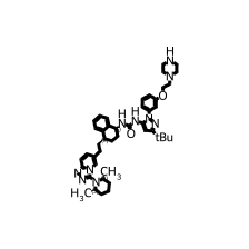 C[C@@H]1CCC[C@H](C)N1c1nnc2ccc(CC[C@@H]3CC[C@H](NC(=O)Nc4cc(C(C)(C)C)nn4-c4cccc(OCCN5CCNCC5)c4)c4ccccc43)cn12